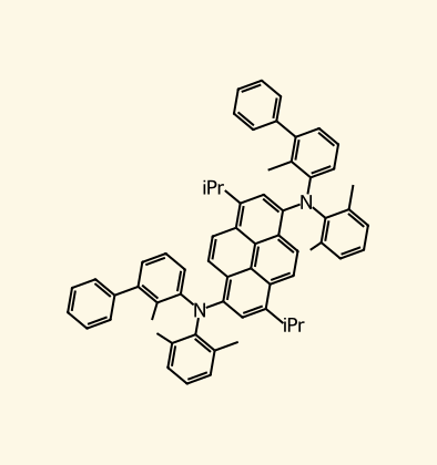 Cc1cccc(C)c1N(c1cccc(-c2ccccc2)c1C)c1cc(C(C)C)c2ccc3c(N(c4cccc(-c5ccccc5)c4C)c4c(C)cccc4C)cc(C(C)C)c4ccc1c2c43